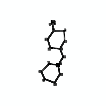 CCC1CCC(CN2CCCCC2)CC1